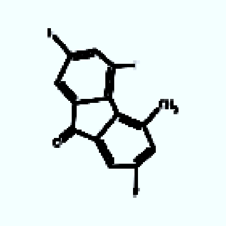 Cc1cc(F)cc2c1-c1c(F)cc(F)cc1C2=O